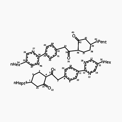 CCCCCCCC1CCC(C(=O)Cc2ccc(-c3ncc(CCCCCC)cn3)cc2)C(=O)C1.CCCCCCc1cnc(-c2ccc(CC(=O)C3CCC(CCCCC)CC3=O)cc2)nc1